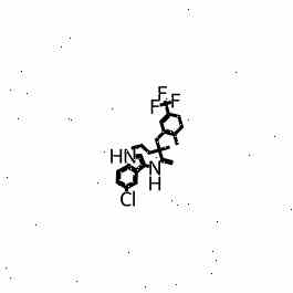 C=C(Nc1c[nH]c2ccc(Cl)cc12)C(C)(CCC)CC1=C(C)CCC(C(F)(F)F)=C1